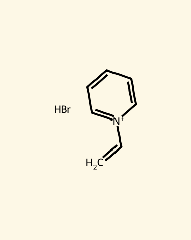 Br.C=C[n+]1ccccc1